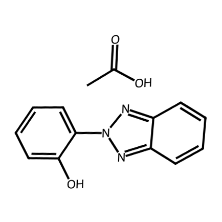 CC(=O)O.Oc1ccccc1-n1nc2ccccc2n1